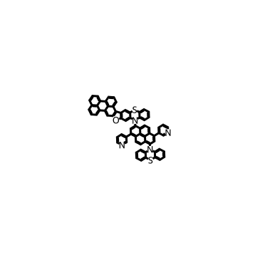 c1cncc(-c2cc(N3c4ccccc4Sc4ccccc43)c3ccc4c(-c5cccnc5)cc(-n5c6ccccc6sc6cc7c(cc65)oc5cc6c8cccc9cccc(c%10cccc(c57)c%106)c98)c5ccc2c3c45)c1